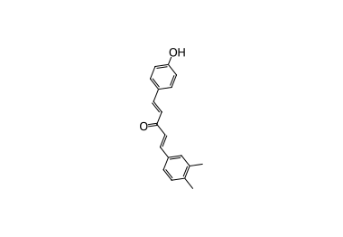 Cc1ccc(C=CC(=O)C=Cc2ccc(O)cc2)cc1C